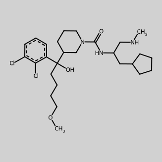 CNCC(CC1CCCC1)NC(=O)N1CCCC(C(O)(CCCCOC)c2cccc(Cl)c2Cl)C1